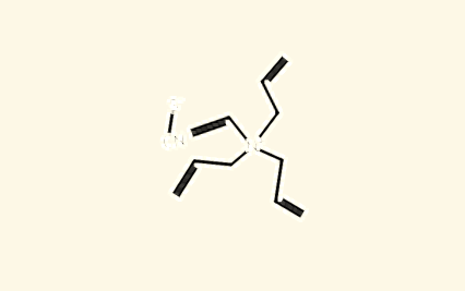 C=CC[N+](C=C)(CC=C)CC=C.N#C[S-]